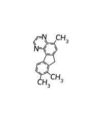 Cc1ccc2c(c1C)Cc1cc(C)c3nccnc3c1-2